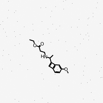 CCOC(=O)CCNC(C)C1=Cc2ccc(OC)cc21